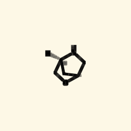 C1N[C@@H]2CO[C]1C2